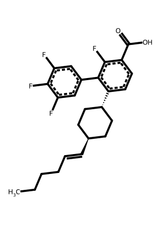 CCCC/C=C/[C@H]1CC[C@H](c2ccc(C(=O)O)c(F)c2-c2cc(F)c(F)c(F)c2)CC1